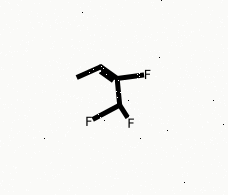 C/C=C(/F)C(F)F